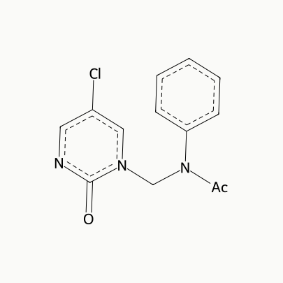 CC(=O)N(Cn1cc(Cl)cnc1=O)c1ccccc1